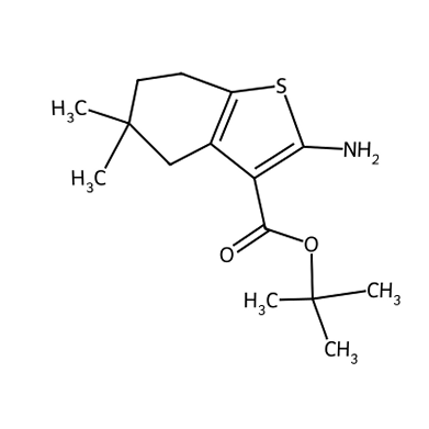 CC1(C)CCc2sc(N)c(C(=O)OC(C)(C)C)c2C1